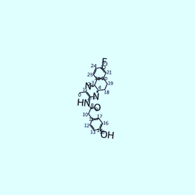 Cc1nc2c(nc1NC(=O)Cc1ccc(O)cc1)CCc1cc(F)ccc1-2